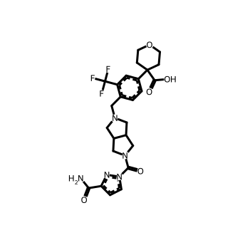 NC(=O)c1ccn(C(=O)N2CC3CN(Cc4ccc(C5(C(=O)O)CCOCC5)cc4C(F)(F)F)CC3C2)n1